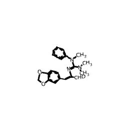 CN(C)/C(=N\C(C=O)=C/c1ccc2c(c1)OCO2)N(C)c1ccccc1